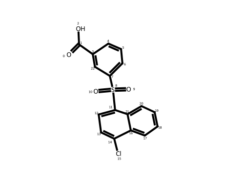 O=C(O)c1cccc(S(=O)(=O)c2ccc(Cl)c3ccccc23)c1